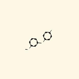 O=C(O)c1ccc(Sc2cccc(OC(F)(F)F)c2)cc1